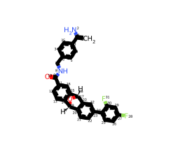 C=C(N)c1ccc(CNC(=O)c2ccc3c(c2)[C@@H]2O[C@H]3c3ccc(-c4ccc(F)cc4F)cc32)cc1